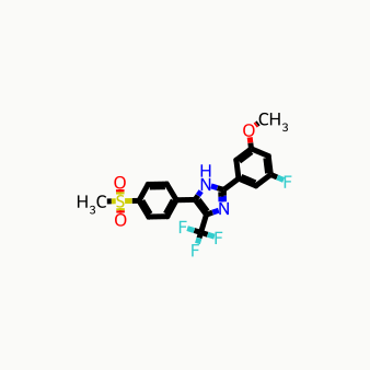 COc1cc(F)cc(-c2nc(C(F)(F)F)c(-c3ccc(S(C)(=O)=O)cc3)[nH]2)c1